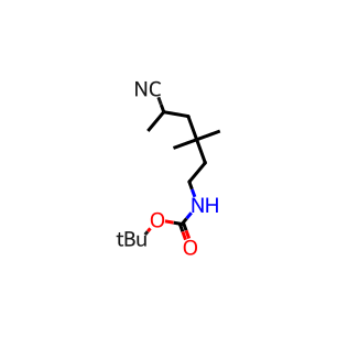 CC(C#N)CC(C)(C)CCNC(=O)OC(C)(C)C